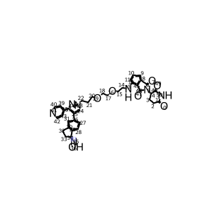 O=C1CCC(N2C(=O)c3cccc(NCCOCCOCCCn4cc(-c5ccc6c(c5)CC/C6=N\O)c(-c5ccncc5)n4)c3C2=O)C(=O)N1